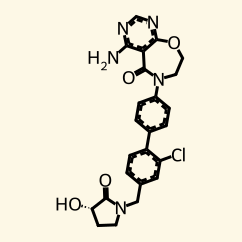 Nc1ncnc2c1C(=O)N(c1ccc(-c3ccc(CN4CC[C@H](O)C4=O)cc3Cl)cc1)CCO2